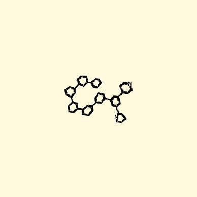 c1ccc(-c2cccc(-c3cccc(-c4cccc(-c5cccc(-c6cccc(-c7cc(-c8ccncc8)cc(-c8ccccn8)c7)c6)c5)c4)c3)c2)cc1